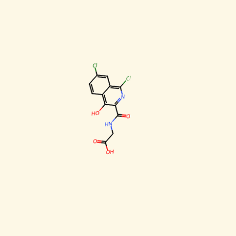 O=C(O)CNC(=O)c1nc(Cl)c2cc(Cl)ccc2c1O